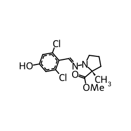 COC(=O)[C@@]1(C)CCCN1N=Cc1c(Cl)cc(O)cc1Cl